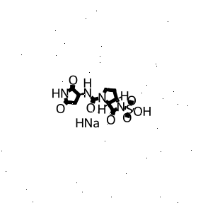 O=C1C[C@H](NC(=O)N2CC[C@@H]3[C@H]2C(=O)N3S(=O)(=O)O)C(=O)N1.[NaH]